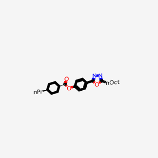 CCCCCCCCc1nnc(-c2ccc(OC(=O)[C@H]3CC[C@H](CCC)CC3)cc2)o1